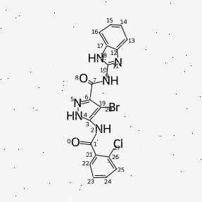 O=C(Nc1[nH]nc(C(=O)Nc2nc3ccccc3[nH]2)c1Br)c1ccccc1Cl